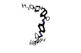 CN1CCN(Cc2ccc(C(=O)/C=C/c3ccc(/C=C/C(=O)NO)cc3)cc2)CC1